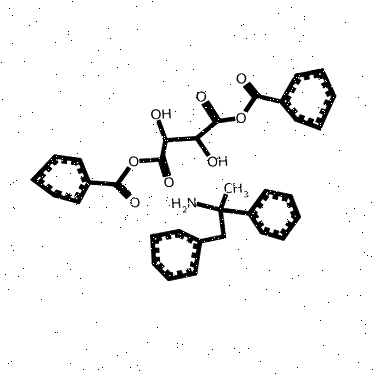 CC(N)(Cc1ccccc1)c1ccccc1.O=C(OC(=O)C(O)C(O)C(=O)OC(=O)c1ccccc1)c1ccccc1